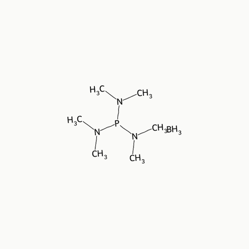 B.CN(C)P(N(C)C)N(C)C